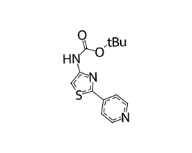 CC(C)(C)OC(=O)Nc1csc(-c2ccncc2)n1